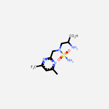 Cc1cc(C(F)(F)F)nc(CN(CC(N)C(=O)O)S(N)(=O)=O)n1